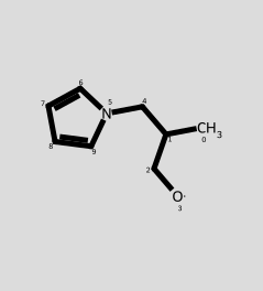 CC(C[O])Cn1cccc1